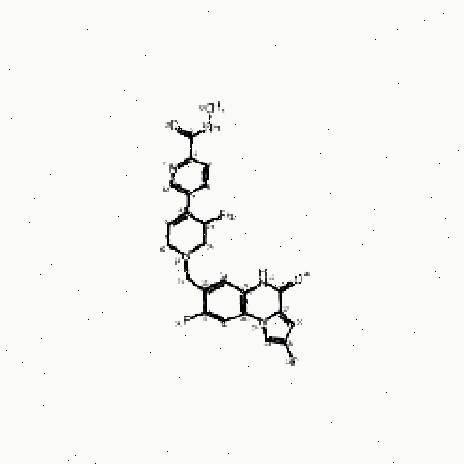 CNC(=O)c1ccc(C2=CCN(Cc3cc4[nH]c(=O)c5cc(F)cn5c4cc3F)CC2F)cn1